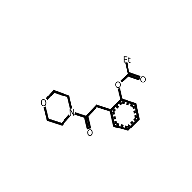 CCC(=O)Oc1ccccc1CC(=O)N1CCOCC1